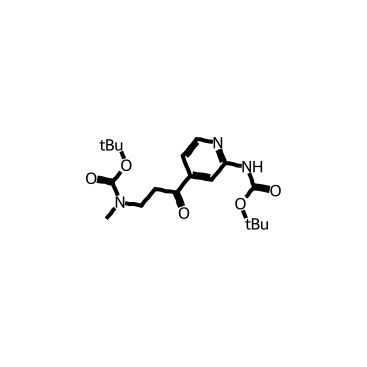 CN(CCC(=O)c1ccnc(NC(=O)OC(C)(C)C)c1)C(=O)OC(C)(C)C